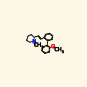 COc1ccccc1-c1ccccc1/C=C/C1CCCCN1C